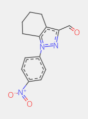 O=Cc1nn(-c2ccc([N+](=O)[O-])cc2)c2c1CCCC2